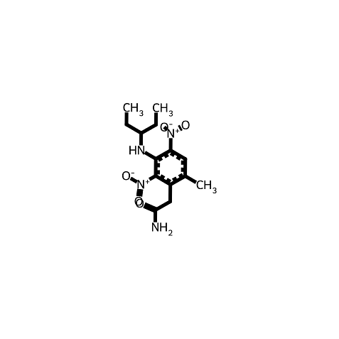 CCC(CC)Nc1c([N+](=O)[O-])cc(C)c(CC(N)=O)c1[N+](=O)[O-]